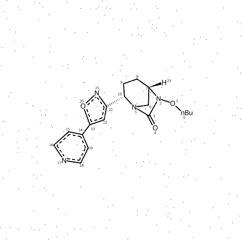 CCCCON1C(=O)N2C[C@@H]1CC[C@H]2c1cc(-c2ccncc2)on1